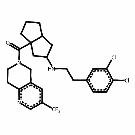 O=C(N1CCc2ncc(C(F)(F)F)cc2C1)C12CCCC1CC(NCCc1ccc(Cl)c(Cl)c1)C2